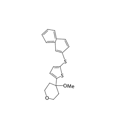 COC1(c2ccc(Sc3ccc4ccccc4c3)s2)CCOCC1